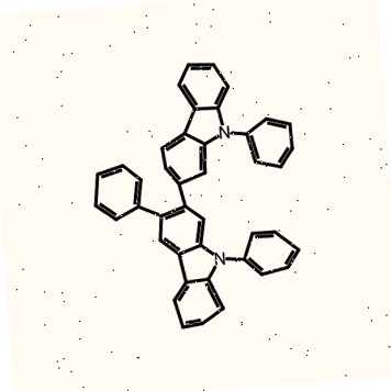 c1ccc(-c2cc3c4ccccc4n(-c4ccccc4)c3cc2-c2ccc3c4ccccc4n(-c4ccccc4)c3c2)cc1